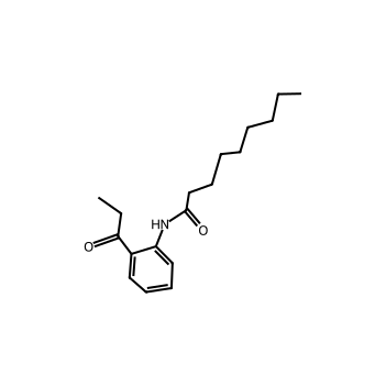 CCCCCCCCC(=O)Nc1ccccc1C(=O)CC